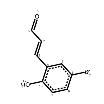 O=CC=Cc1cc(Br)ccc1O